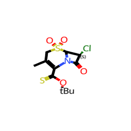 CC1=C(C(=S)OC(C)(C)C)N2C(=O)[C@H](Cl)C2S(=O)(=O)C1